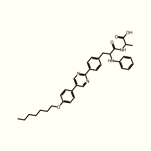 CCCCCCCOc1ccc(-c2cnc(-c3ccc(CC(Nc4ccccc4)C(=O)NC(C)C(=O)O)cc3)nc2)cc1